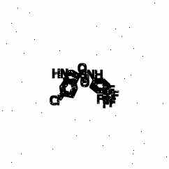 O=S(=O)(Nc1ccc(S(F)(F)(F)(F)F)cc1)c1c[nH]c2cc(Cl)ccc12